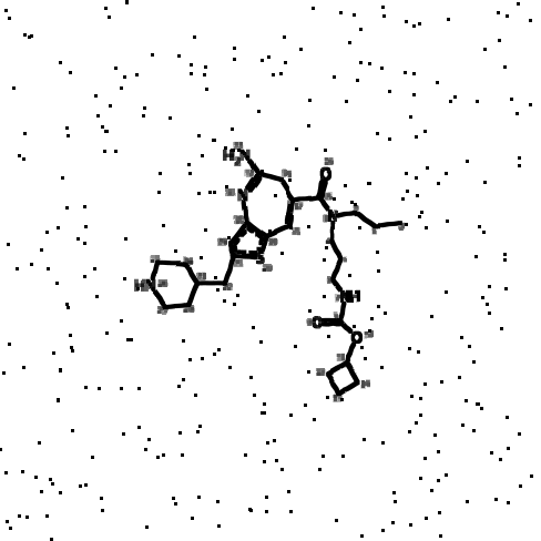 CCCN(CCCNC(=O)OC1CCC1)C(=O)C1=Cc2sc(CC3CCNCC3)cc2N=C(N)C1